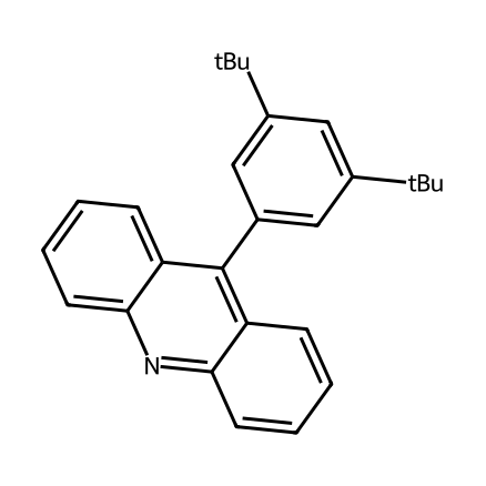 CC(C)(C)c1cc(-c2c3ccccc3nc3ccccc23)cc(C(C)(C)C)c1